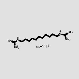 N=C(N)NCCCCCCCCCCCNC(=N)N.O=S(=O)(O)O